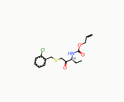 C=CCOC(=O)N[C@@H](CC)C(=O)CSCc1ccccc1Cl